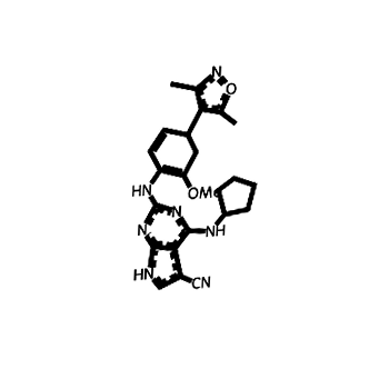 COC1=C(Nc2nc(NC3CCCC3)c3c(C#N)c[nH]c3n2)C=CC(c2c(C)noc2C)C1